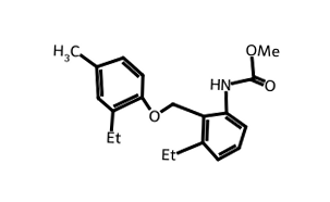 CCc1cc(C)ccc1OCc1c(CC)cccc1NC(=O)OC